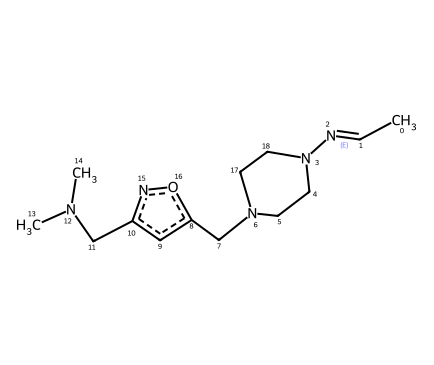 C/C=N/N1CCN(Cc2cc(CN(C)C)no2)CC1